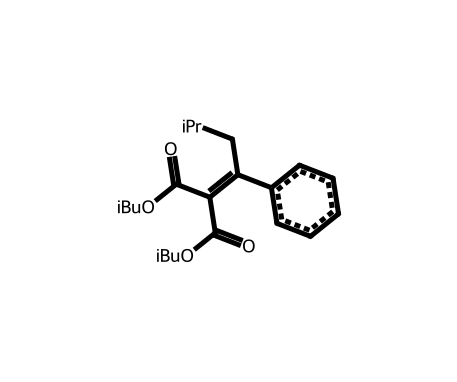 CC(C)COC(=O)C(C(=O)OCC(C)C)=C(CC(C)C)c1ccccc1